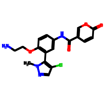 Cn1ncc(Cl)c1-c1cc(NC(=O)c2ccc(=O)oc2)ccc1OCCN